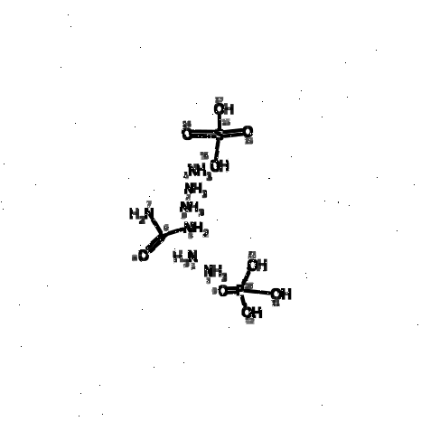 N.N.N.N.N.NC(N)=O.O=P(O)(O)O.O=S(=O)(O)O